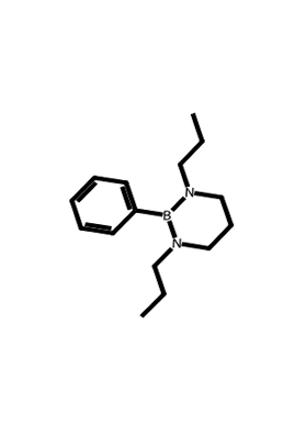 CCCN1CCCN(CCC)B1c1ccccc1